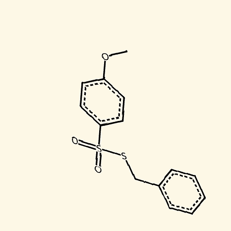 COc1ccc(S(=O)(=O)SCc2ccccc2)cc1